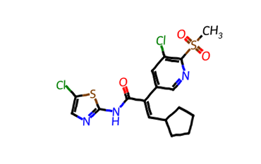 CS(=O)(=O)c1ncc(/C(=C\C2CCCC2)C(=O)Nc2ncc(Cl)s2)cc1Cl